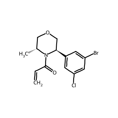 C=CC(=O)N1[C@H](C)COC[C@H]1c1cc(Cl)cc(Br)c1